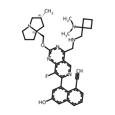 C#Cc1cccc2cc(O)cc(-c3ncc4c(CNCC5(N(C)C)CCC5)nc(OC[C@@]56CCCN5C[C@H](C)C6)nc4c3F)c12